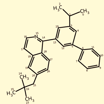 CC(C)c1cc(-c2ccccc2)cc(-c2nccc3cc(CC(C)(C)C)ccc23)c1